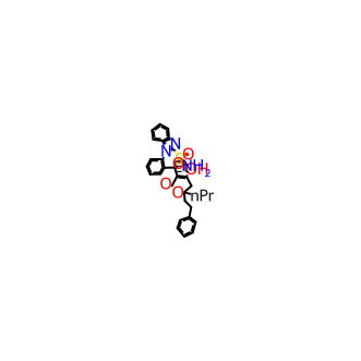 CCCC1(CCc2ccccc2)CC(O)=C(C(CC)c2ccccc2-n2c(S(N)(=O)=O)nc3ccccc32)C(=O)O1